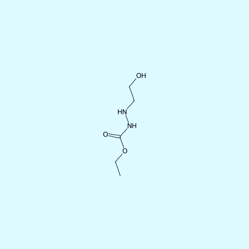 CCOC(=O)NNCCO